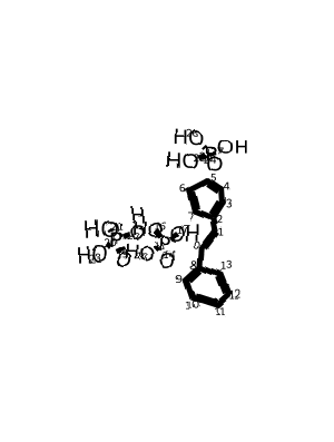 C(=C\c1ccccc1)/c1ccccc1.O=P(O)(O)O.O=P(O)(O)O.O=P(O)(O)O